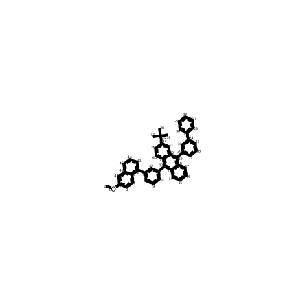 COc1ccc2c(-c3cccc(-c4c5ccccc5c(-c5cccc(-c6ccccc6)c5)c5cc(C(C)(C)C)ccc45)c3)cccc2c1